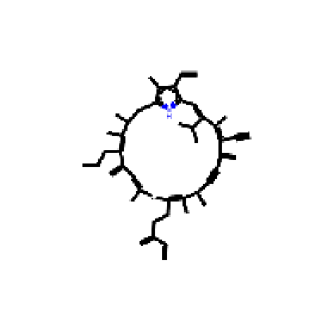 C#C/C1=C(C)/C(C(C)C)=C/c2[nH]c(c(C)c2C=C)CC(C)/C(C)=C(/CCC)C(=C)/C=C(\C)C/C(CCC(=C)C=C)=C(/C)C(C)C#CC1=C